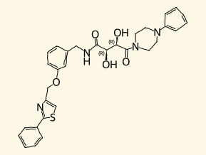 O=C(NCc1cccc(OCc2csc(-c3ccccc3)n2)c1)[C@H](O)[C@@H](O)C(=O)N1CCN(c2ccccc2)CC1